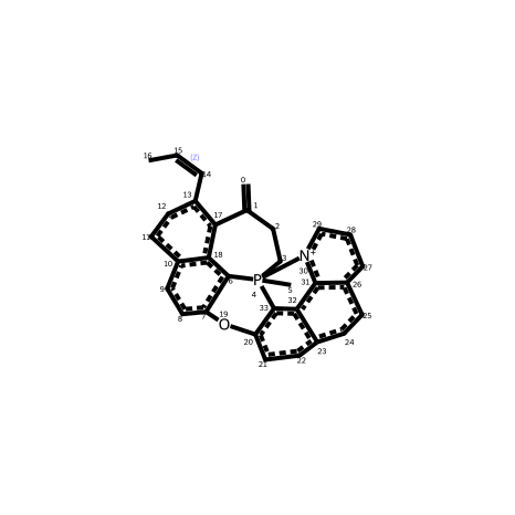 C=C1CCP23(C)c4c(ccc5ccc(/C=C\C)c1c45)Oc1ccc4ccc5ccc[n+]2c5c4c13